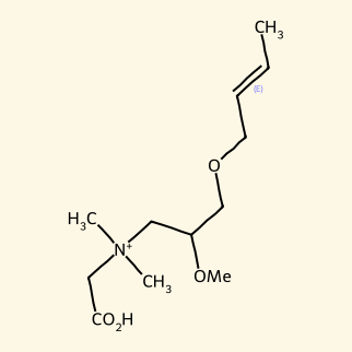 C/C=C/COCC(C[N+](C)(C)CC(=O)O)OC